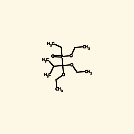 CCOC(OCC)(C(C)C)P(=O)(CC)OCC